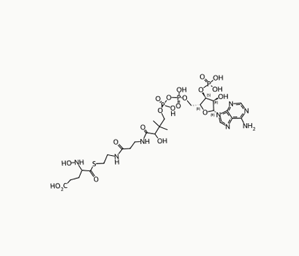 CC(C)(COP(=O)(O)OP(=O)(O)OC[C@H]1O[C@@H](n2cnc3c(N)ncnc32)[C@H](O)[C@@H]1OP(=O)(O)O)C(O)C(=O)NCCC(=O)NCCSC(=O)C(CCC(=O)O)NO